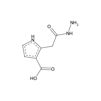 NNC(=O)Cc1[nH]ccc1C(=O)O